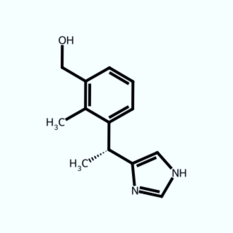 Cc1c(CO)cccc1[C@@H](C)c1c[nH]cn1